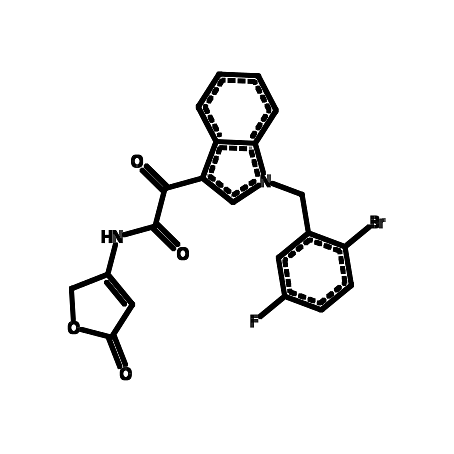 O=C1C=C(NC(=O)C(=O)c2cn(Cc3cc(F)ccc3Br)c3ccccc23)CO1